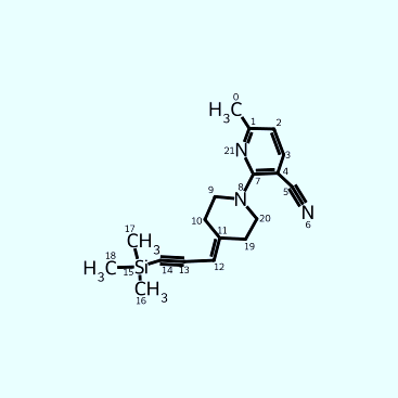 Cc1ccc(C#N)c(N2CCC(=CC#C[Si](C)(C)C)CC2)n1